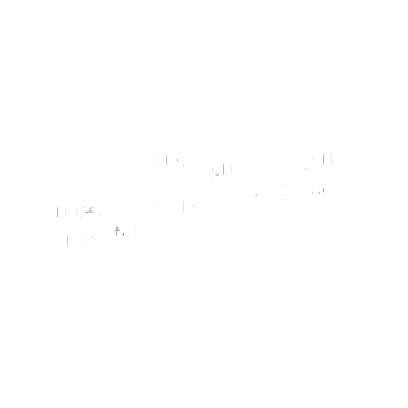 CC(CCCCCC[C@@H](C)C(C)C)C(C)C(C)CCCCCC[C@H](C)C(C)NI